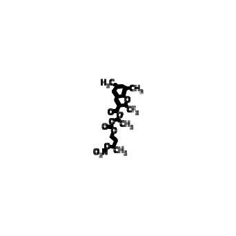 Cc1cc(C)c2c(c1)C=C(C(=O)OC(C)OC(=O)OCCC(C)O[N+](=O)[O-])C(C(F)(F)F)O2